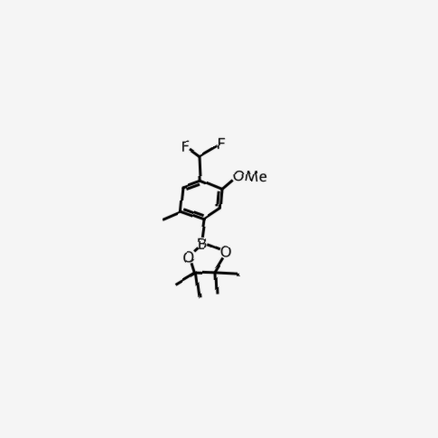 COc1cc(B2OC(C)(C)C(C)(C)O2)c(C)cc1C(F)F